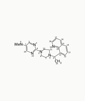 CNc1cnc(N2CCN(C(C)c3cccc4cccnc34)CC2)nc1